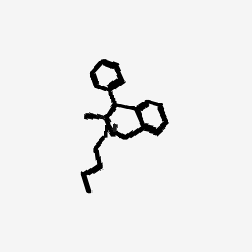 CCCCN1Cc2ccccc2C(c2ccccc2)[C@@H]1C